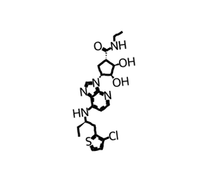 CCNC(=O)[C@H]1C[C@@H](n2cnc3c(N[C@H](CC)Cc4sccc4Cl)ccnc32)[C@H](O)[C@@H]1O